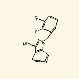 Fc1cccc(Cn2cc(Br)c3ccncc32)c1F